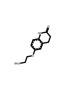 CSCCOc1ccc2c(c1)CCC(=O)N2